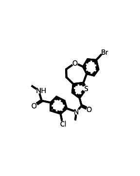 CNC(=O)c1ccc(N(C)C(=O)c2cc3c(s2)-c2ccc(Br)cc2OCC3)c(Cl)c1